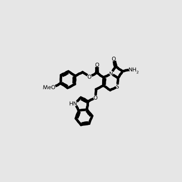 COc1ccc(COC(=O)C2=C(COc3c[nH]c4ccccc34)CSC3C(N)C(=O)N23)cc1